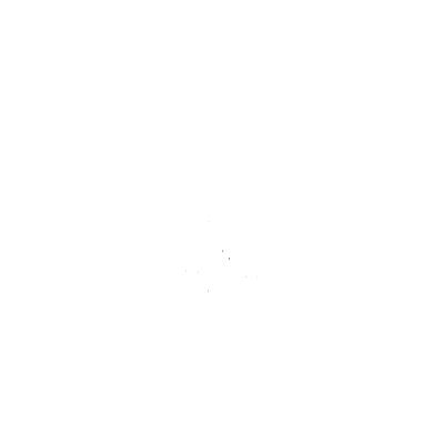 CC(=O)NC(CSSCc1ccccc1)C(=O)O